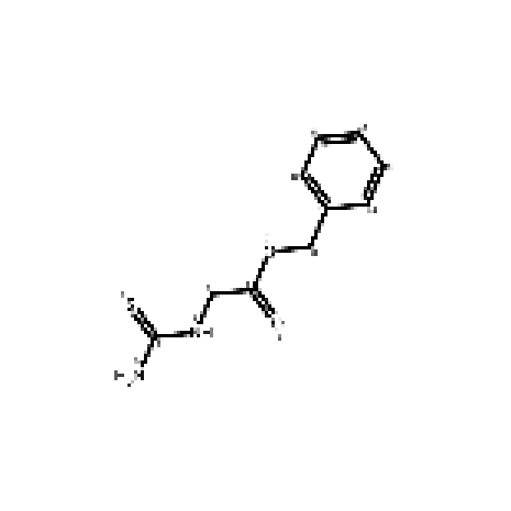 NC(=S)NCC(=O)OCc1ccccc1